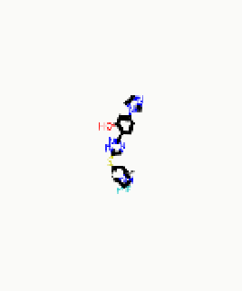 C[C@@]12C[C@@H](Sc3cnc(-c4ccc(-n5ccnc5)cc4O)nn3)CC(N1)C(F)(F)C2